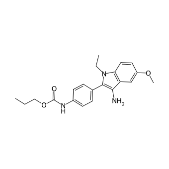 CCCOC(=O)Nc1ccc(-c2c(N)c3cc(OC)ccc3n2CC)cc1